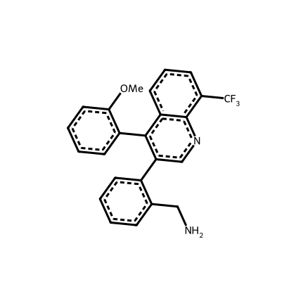 COc1ccccc1-c1c(-c2ccccc2CN)cnc2c(C(F)(F)F)cccc12